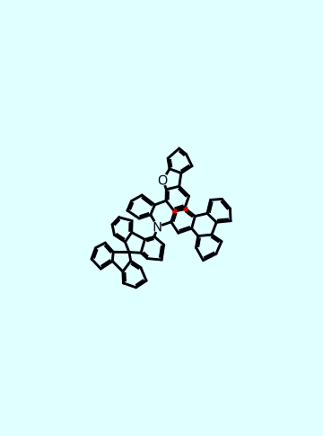 c1ccc(N(c2ccc3c4ccccc4c4ccccc4c3c2)c2cccc3c2-c2ccccc2C32c3ccccc3-c3ccccc32)c(-c2cccc3c2oc2ccccc23)c1